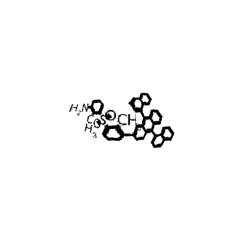 Cc1c(N)cccc1S(=O)(=O)c1cccc(-c2ccc3c(-c4cccc5ccccc45)c4ccccc4c(-c4cccc5ccccc45)c3c2)c1C